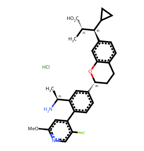 COc1cc(-c2ccc([C@H]3CCc4ccc([C@H](C5CC5)[C@H](C)C(=O)O)cc4O3)cc2[C@H](C)N)c(F)cn1.Cl